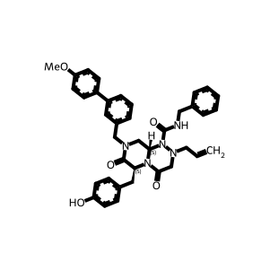 C=CCN1CC(=O)N2[C@@H](Cc3ccc(O)cc3)C(=O)N(Cc3cccc(-c4ccc(OC)cc4)c3)C[C@@H]2N1C(=O)NCc1ccccc1